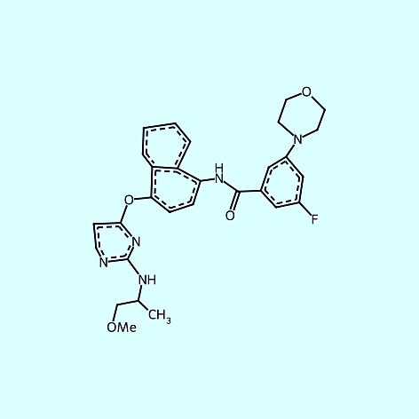 COCC(C)Nc1nccc(Oc2ccc(NC(=O)c3cc(F)cc(N4CCOCC4)c3)c3ccccc23)n1